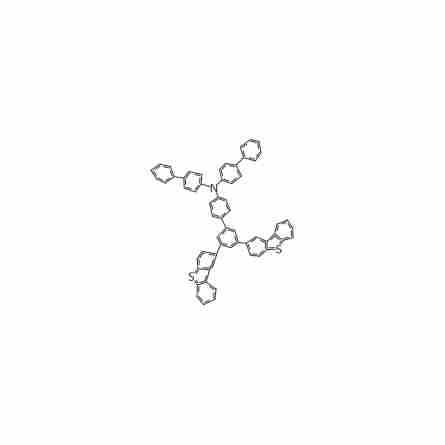 c1ccc(-c2ccc(N(c3ccc(-c4ccccc4)cc3)c3ccc(-c4cc(-c5ccc6sc7ccccc7c6c5)cc(-c5ccc6sc7ccccc7c6c5)c4)cc3)cc2)cc1